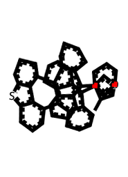 Cc1cocc1-c1c2ccccc2c(-c2cccc3sc4cccc(-c5c6ccccc6c(-c6ccccc6)c6ccccc56)c4c23)c2ccccc12